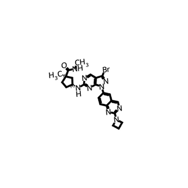 CNC(=O)[C@]1(C)CC[C@@H](Nc2ncc3c(Br)nn(-c4ccc5nc(N6CCC6)ncc5c4)c3n2)C1